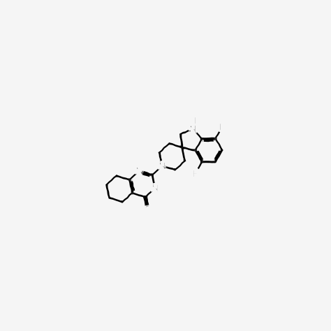 O=c1[nH]c(N2CCC3(CC2)CNc2c(F)ccc(F)c23)nc2c1CCCC2